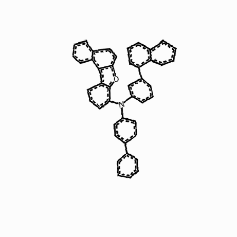 c1ccc(-c2ccc(N(c3cccc(-c4cccc5ccccc45)c3)c3cccc4c3oc3ccc5ccccc5c34)cc2)cc1